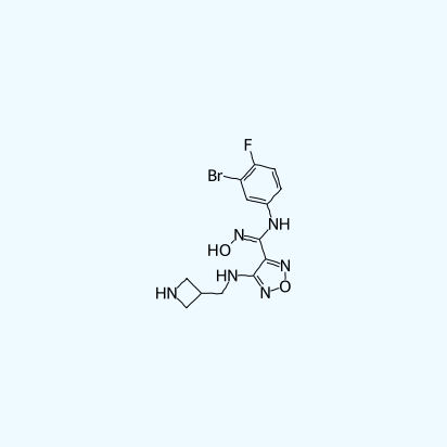 ON=C(Nc1ccc(F)c(Br)c1)c1nonc1NCC1CNC1